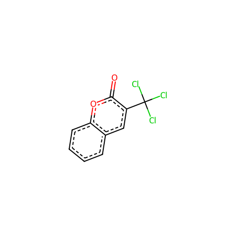 O=c1oc2ccccc2cc1C(Cl)(Cl)Cl